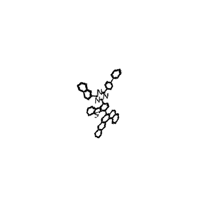 c1ccc(-c2ccc(-c3nc(-c4ccc5ccccc5c4)nc(-c4ccc(-c5cc6cc7ccccc7cc6c6c5ccc5ccccc56)c5sc6ccccc6c45)n3)cc2)cc1